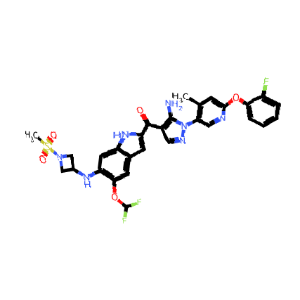 Cc1cc(Oc2ccccc2F)ncc1-n1ncc(C(=O)c2cc3cc(OC(F)F)c(NC4CN(S(C)(=O)=O)C4)cc3[nH]2)c1N